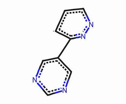 [c]1ccnnc1-c1cncnc1